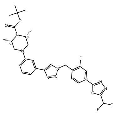 C[C@@H]1CN(c2cccc(-c3cn(Cc4ccc(-c5nnc(C(F)F)o5)cc4F)nn3)c2)C[C@H](C)N1C(=O)OC(C)(C)C